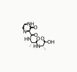 C[C@H](NC(=O)[C@H](C)NC(=O)c1ncc[nH]c1=O)C(=O)O